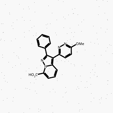 COc1ccc(-c2c(-c3ccccc3)nn3c(C(=O)O)cccc23)nn1